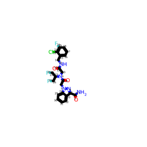 NC(=O)c1nn(CC(=O)N(CC(=O)NCc2cccc(F)c2Cl)C(CF)CF)c2ccccc12